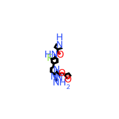 Nc1nc(OC2CCOC2)c2nc(-c3ccc(NC(=O)C4CCNC4)c(F)c3)ccc2n1